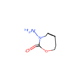 NN1CCCOC1=O